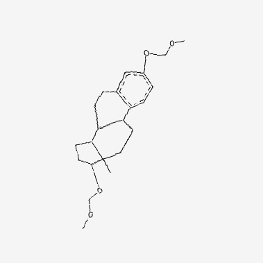 COCOc1ccc2c(c1)CCC1C2CCC2(C)C(OCOC)CCC12